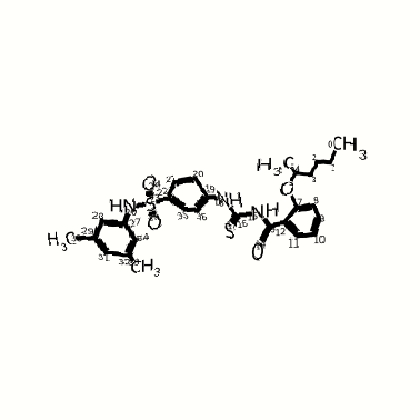 CCCCC(C)Oc1ccccc1C(=O)NC(=S)Nc1ccc(S(=O)(=O)Nc2cc(C)cc(C)c2)cc1